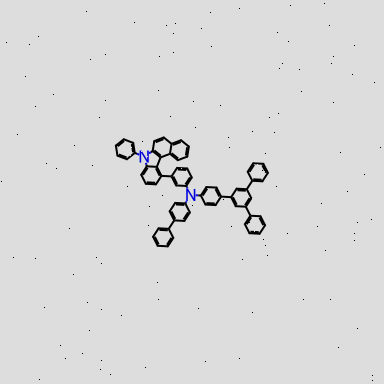 c1ccc(-c2ccc(N(c3ccc(-c4cc(-c5ccccc5)cc(-c5ccccc5)c4)cc3)c3cccc(-c4cccc5c4c4c6ccccc6ccc4n5-c4ccccc4)c3)cc2)cc1